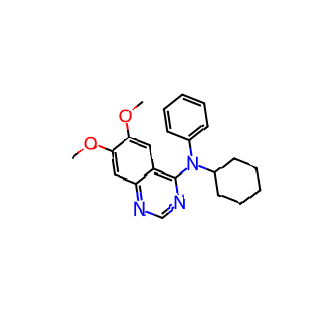 COc1cc2ncnc(N(c3ccccc3)C3CCCCC3)c2cc1OC